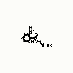 CCCCCCCNC(=O)c1ccccc1N